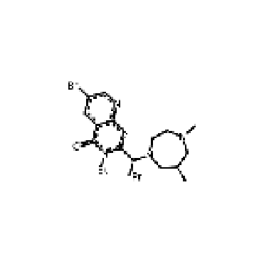 CCC[C@@H](c1nc2ncc(Br)cc2c(=O)n1CC)N1CCN(C)C[C@@H](C)C1